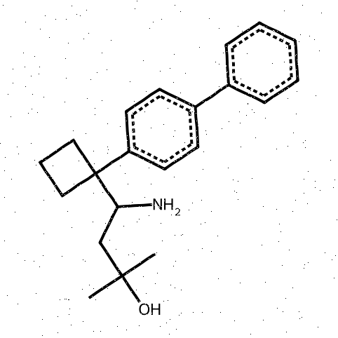 CC(C)(O)CC(N)C1(c2ccc(-c3ccccc3)cc2)CCC1